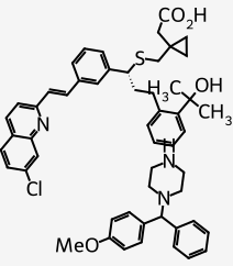 CC(C)(O)c1ccccc1CC[C@@H](SCC1(CC(=O)O)CC1)c1cccc(C=Cc2ccc3ccc(Cl)cc3n2)c1.COc1ccc(C(c2ccccc2)N2CCNCC2)cc1